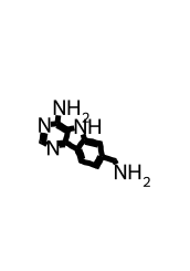 NCc1ccc2c(c1)[nH]c1c(N)ncnc12